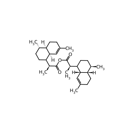 CC1=C[C@H]2C([C@H](C)C(=O)OC(=O)[C@H](C)C3CC[C@@H](C)[C@@H]4CCC(C)=C[C@H]34)CC[C@H](C)[C@H]2CC1